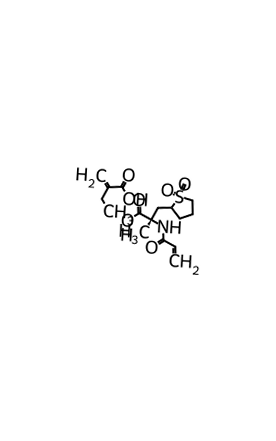 C=C(CC)C(=O)O.C=CC(=O)N[C@@](C)(CC1CCCS1(=O)=O)C(=O)O